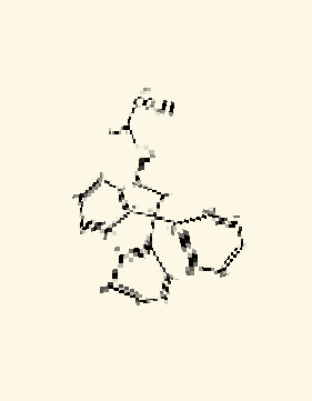 CC(OCCC(c1ccccc1)(c1ccccc1)c1ccccc1)C(=O)O